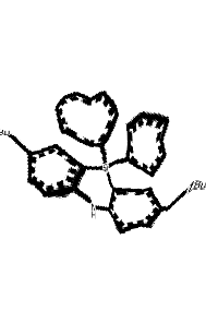 CC(C)(C)c1ccc2c(c1)[Si](c1ccccc1)(c1ccccc1)c1cc(C(C)(C)C)ccc1N2